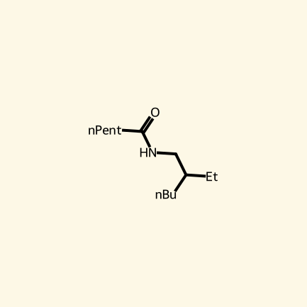 CCCCCC(=O)NCC(CC)CCCC